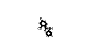 Fc1ccc(-c2nc3ccccc3[nH]2)c(Cl)c1